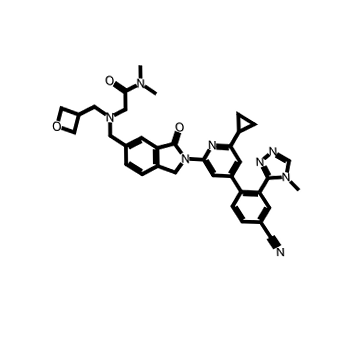 CN(C)C(=O)CN(Cc1ccc2c(c1)C(=O)N(c1cc(-c3ccc(C#N)cc3-c3nncn3C)cc(C3CC3)n1)C2)CC1COC1